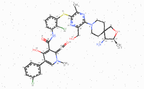 Cc1nc(N2CCC3(CC2)CO[C@@H](C)[C@H]3N)c(CO)nc1Sc1cccc(NC(=O)C2=C(O)C(c3cccc(Cl)c3)=CN(C)C2=C=O)c1Cl